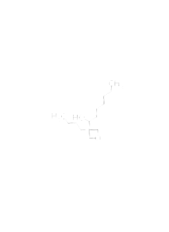 CCCCCCC(O)C1(CCCC)COC1